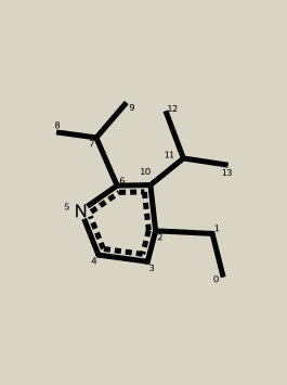 CCc1ccnc(C(C)C)c1C(C)C